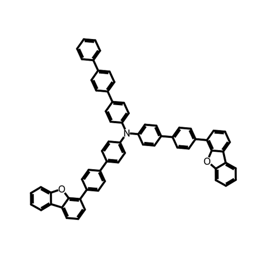 c1ccc(-c2ccc(-c3ccc(N(c4ccc(-c5ccc(-c6cccc7c6oc6ccccc67)cc5)cc4)c4ccc(-c5ccc(-c6cccc7c6oc6ccccc67)cc5)cc4)cc3)cc2)cc1